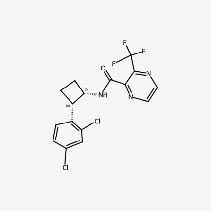 O=C(N[C@H]1CC[C@H]1c1ccc(Cl)cc1Cl)c1nccnc1C(F)(F)F